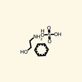 NCCO.O=S(=O)(O)O.c1ccccc1